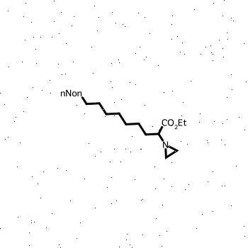 CCCCCCCCCCCCCCCCC(C(=O)OCC)N1CC1